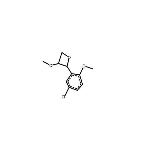 COc1ccc(Cl)cc1C1OCC1OC